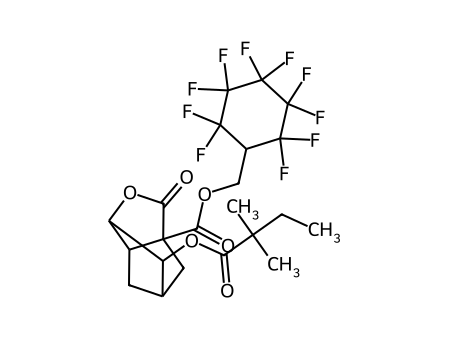 CCC(C)(C)C(=O)OC1C2CC3C1OC(=O)C3(C(=O)OCC1C(F)(F)C(F)(F)C(F)(F)C(F)(F)C1(F)F)C2